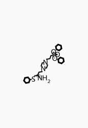 N[C@H](CCN1CCN(CCCP(=O)(Oc2ccccc2)Oc2ccccc2)CC1)CSc1ccccc1